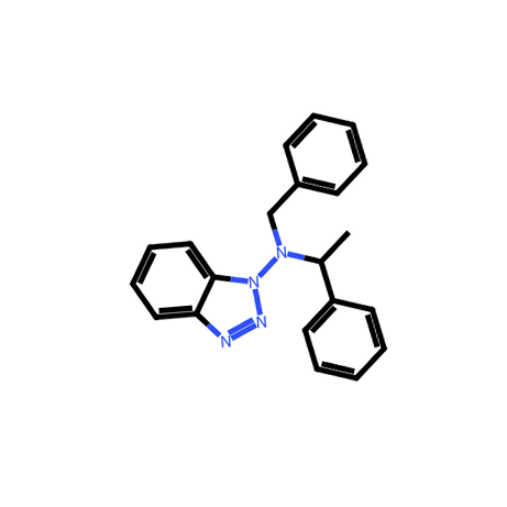 CC(c1ccccc1)N(Cc1ccccc1)n1nnc2ccccc21